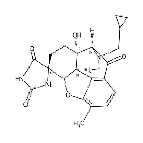 Cc1ccc2c3c1OC1[C@]34CCN(CC3CC3)[C@H](C2=O)[C@]4(O)CC[C@]12NC(=O)NC2=O